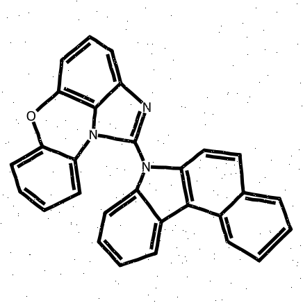 c1ccc2c(c1)Oc1cccc3nc(-n4c5ccccc5c5c6ccccc6ccc54)n-2c13